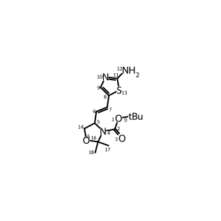 CC(C)(C)OC(=O)N1C(C=Cc2cnc(N)s2)COC1(C)C